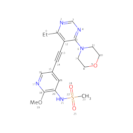 CCc1ncnc(N2CCOCC2)c1C#Cc1cnc(OC)c(NS(C)(=O)=O)c1